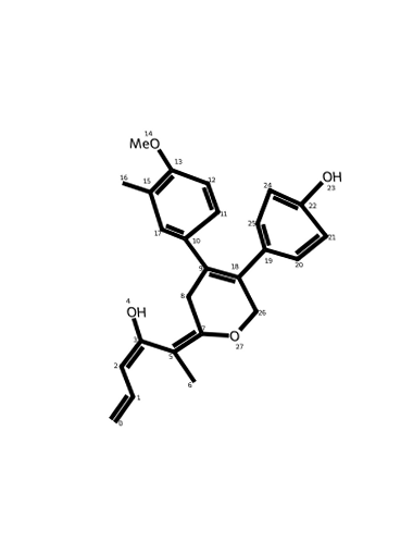 C=C/C=C(O)\C(C)=C1/CC(c2ccc(OC)c(C)c2)=C(c2ccc(O)cc2)CO1